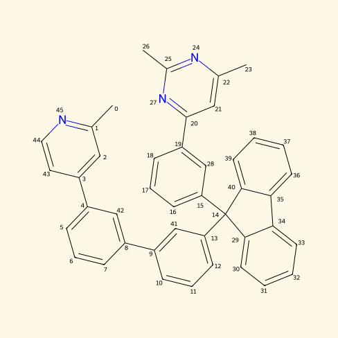 Cc1cc(-c2cccc(-c3cccc(C4(c5cccc(-c6cc(C)nc(C)n6)c5)c5ccccc5-c5ccccc54)c3)c2)ccn1